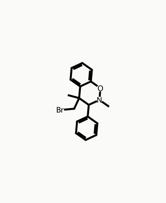 CN1Oc2ccccc2C(C)(CBr)C1c1ccccc1